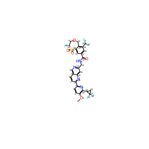 COc1ccc(-c2ccc3cnc(CNC(=O)c4cc(C(F)F)c5c(c4)S(=O)(=O)[C@@H](F)COC5)cc3n2)nc1C1CC1(F)F